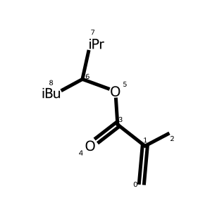 C=C(C)C(=O)OC(C(C)C)C(C)CC